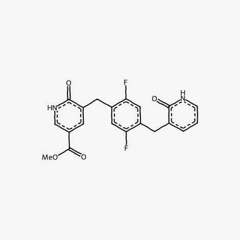 COC(=O)c1c[nH]c(=O)c(Cc2cc(F)c(Cc3ccc[nH]c3=O)cc2F)c1